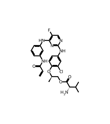 C=CC(=O)Nc1cccc(Nc2nc(Nc3ccc(O[C@H](C)COC(=O)[C@@H](N)C(C)C)c(Cl)c3)ncc2F)c1